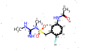 CNC(=N)N(C)S(=O)(=O)Cc1cc(NC(C)=O)ccc1F